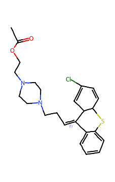 CC(=O)OCCN1CCN(CC/C=C2/c3ccccc3SC3C=CC(Cl)=CC23)CC1